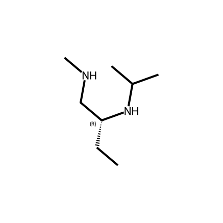 CC[C@H](CNC)NC(C)C